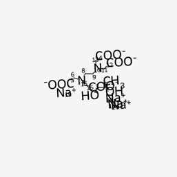 CC(O)CO.O=C([O-])CN(CCN(CC(=O)[O-])CC(=O)[O-])CC(=O)[O-].[Na+].[Na+].[Na+].[Na+]